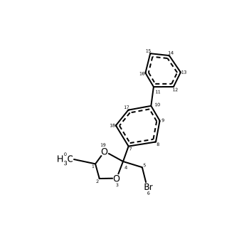 CC1COC(CBr)(c2ccc(-c3ccccc3)cc2)O1